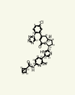 O=C1C=C(c2cc(Cl)ccc2-n2cnnn2)C[C@H]2CC[C@@H](c3ncc(-c4ccc(NC(=O)C56CC(C5)C6)nc4F)[nH]3)N12